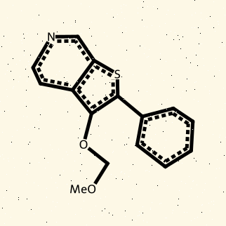 COCOc1c(-c2ccccc2)sc2cnccc12